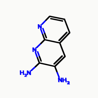 Nc1cc2cccnc2nc1N